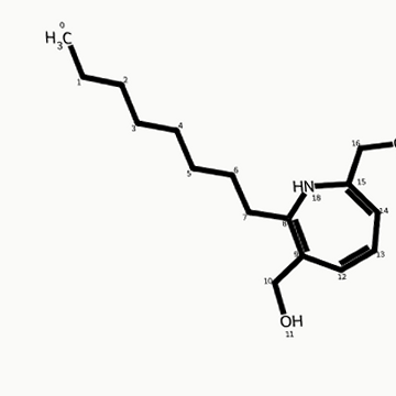 CCCCCCCCC1=C(CO)C=CC=C(CO)N1